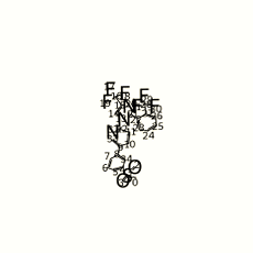 CS(=O)(=O)c1cccc(-c2ccc(-n3cc(C(F)(F)F)nc3-c3ccccc3C(F)(F)F)nc2)c1